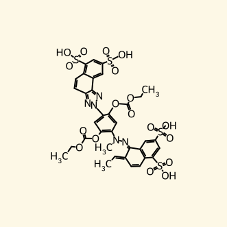 CC=C1C=Cc2c(cc(S(=O)(=O)O)cc2S(=O)(=O)O)/C1=N/N(C)c1cc(OC(=O)OCC)c(-n2nc3ccc4c(S(=O)(=O)O)cc(S(=O)(=O)O)cc4c3n2)cc1OC(=O)OCC